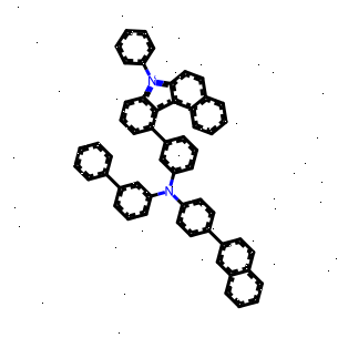 c1ccc(-c2cccc(N(c3ccc(-c4ccc5ccccc5c4)cc3)c3cccc(-c4cccc5c4c4c6ccccc6ccc4n5-c4ccccc4)c3)c2)cc1